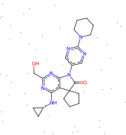 O=C1N(c2cnc(N3CCCCC3)nc2)c2nc(CO)nc(NC3CC3)c2C12CCCC2